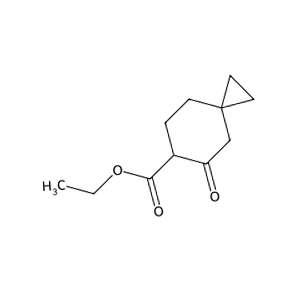 CCOC(=O)C1CCC2(CC2)CC1=O